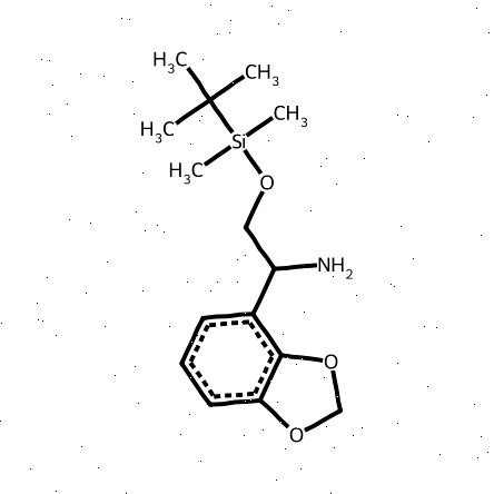 CC(C)(C)[Si](C)(C)OCC(N)c1cccc2c1OCO2